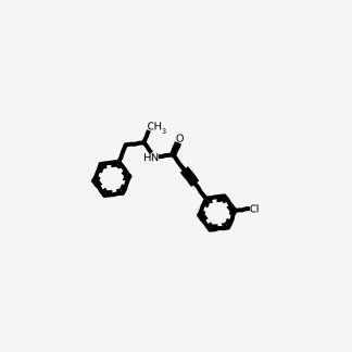 CC(Cc1ccccc1)NC(=O)C#Cc1cccc(Cl)c1